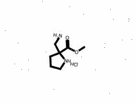 COC(=O)C1(CN)CCCN1.Cl